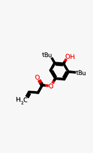 C=CCC(=O)Oc1cc(C(C)(C)C)c(O)c(C(C)(C)C)c1